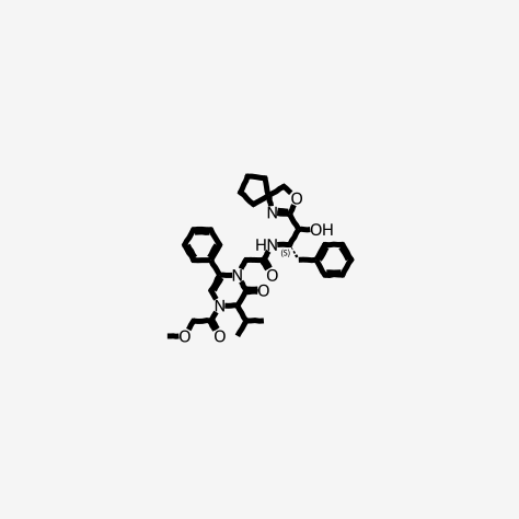 COCC(=O)N1C=C(c2ccccc2)N(CC(=O)N[C@@H](Cc2ccccc2)C(O)C2=NC3(CCCC3)CO2)C(=O)C1C(C)C